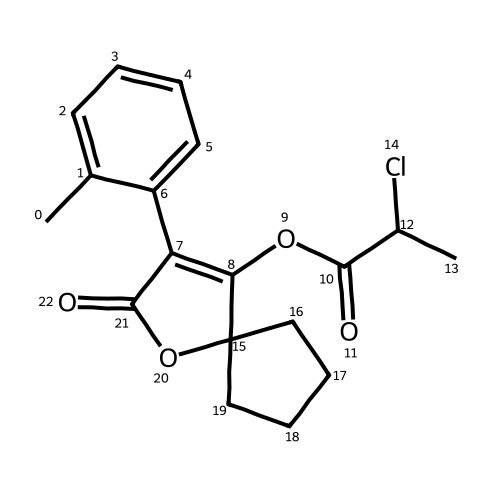 Cc1ccccc1C1=C(OC(=O)C(C)Cl)C2(CCCC2)OC1=O